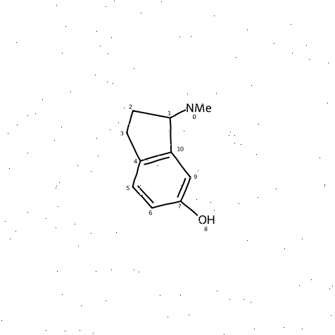 CNC1CCc2ccc(O)cc21